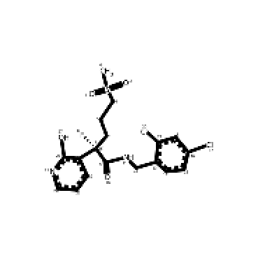 CS(=O)(=O)CCC[C@@](F)(C(=O)NCc1ccc(Cl)cc1Cl)c1cccnc1O